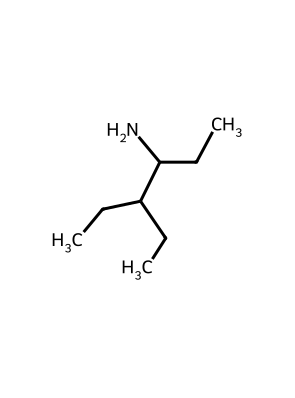 CCC(N)C(CC)CC